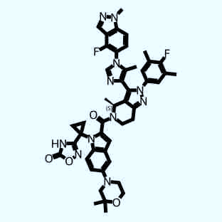 Cc1cc(-n2nc3c(c2-c2ncn(-c4ccc5c(cnn5C)c4F)c2C)[C@H](C)N(C(=O)c2cc4cc(N5CCOC(C)(C)C5)ccc4n2C2(c4noc(=O)[nH]4)CC2)CC3)cc(C)c1F